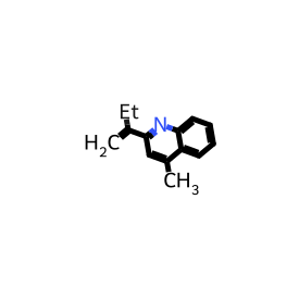 C=C(CC)c1cc(C)c2ccccc2n1